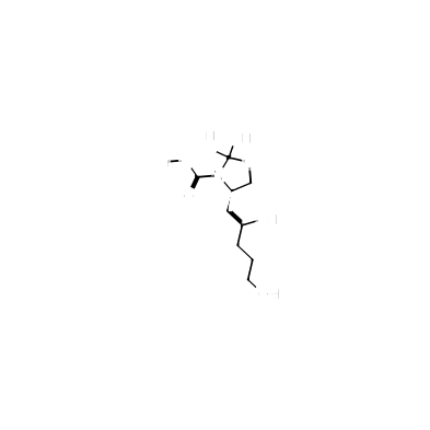 CC(=C[C@@H]1COC(C)(C)N1C(=O)OC(C)(C)C)CCCO